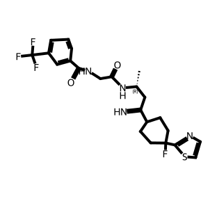 C[C@H](CC(=N)C1CCC(F)(c2nccs2)CC1)NC(=O)CNC(=O)c1cccc(C(F)(F)F)c1